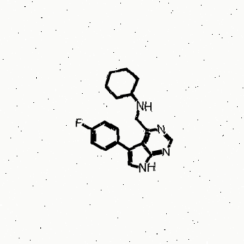 Fc1ccc(-c2c[nH]c3ncnc(CNC4CCCCC4)c23)cc1